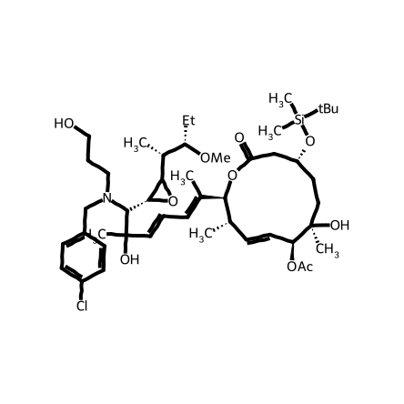 CC[C@H](OC)[C@@H](C)C1O[C@@H]1C(N(CCCO)Cc1ccc(Cl)cc1)C(C)(O)/C=C/C=C(\C)[C@H]1OC(=O)C[C@H](O[Si](C)(C)C(C)(C)C)CC[C@@](C)(O)[C@@H](OC(C)=O)/C=C/[C@@H]1C